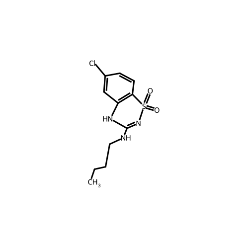 CCCCNC1=NS(=O)(=O)c2ccc(Cl)cc2N1